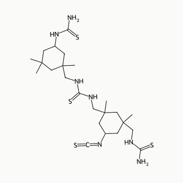 CC1(C)CC(NC(N)=S)CC(C)(CNC(=S)NCC2(C)CC(N=C=S)CC(C)(CNC(N)=S)C2)C1